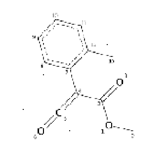 COC(=O)C(=C=O)c1ccccc1C